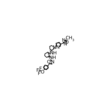 Cc1nc(-c2ccc(N3CCC[C@H](N[C@@H]4CCCC[C@H]4Nc4ncc(-c5ccc(OC(F)(F)F)cc5)o4)C3)nc2)no1